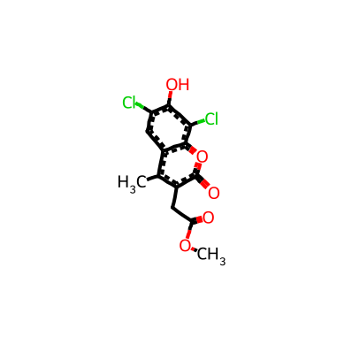 COC(=O)Cc1c(C)c2cc(Cl)c(O)c(Cl)c2oc1=O